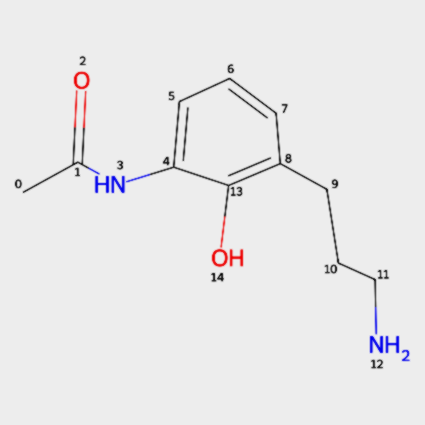 CC(=O)Nc1cccc(CCCN)c1O